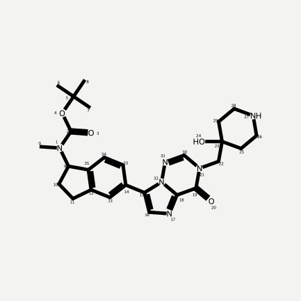 CN(C(=O)OC(C)(C)C)C1CCc2cc(-c3cnc4c(=O)n(CC5(O)CCNCC5)cnn34)ccc21